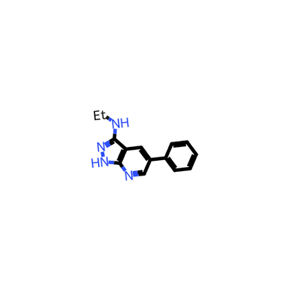 CCNc1n[nH]c2ncc(-c3ccccc3)cc12